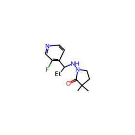 CCC(NN1CCC(C)(C)C1=O)c1ccncc1F